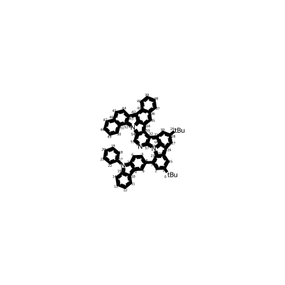 CC(C)(C)c1cc(-c2ccc3c(c2)c2ccccc2n3-c2ccccc2)c2c(c1)c1cc(C(C)(C)C)cc3c4c5c6cc7ccccc7c7c8ccc9ccccc9c8n(c5cnc4n2c13)c67